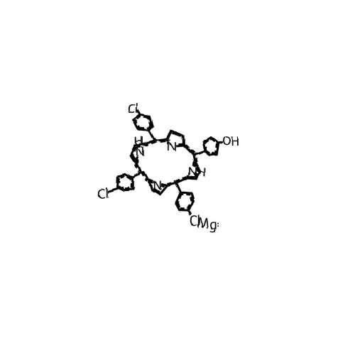 Oc1ccc(-c2c3nc(c(-c4ccc(Cl)cc4)c4ccc([nH]4)c(-c4ccc(Cl)cc4)c4nc(c(-c5ccc(Cl)cc5)c5ccc2[nH]5)C=C4)C=C3)cc1.[Mg]